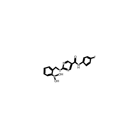 O=C(Nc1ccc(F)cc1)c1cnc(SCc2ccccc2B(O)O)nc1